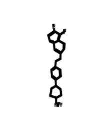 CCCC1CCC(c2ccc(CCc3ccc4c(F)c(F)ccc4c3)cc2)CC1